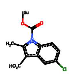 Cc1c(C(=O)O)c2cc(Cl)ccc2n1C(=O)OC(C)(C)C